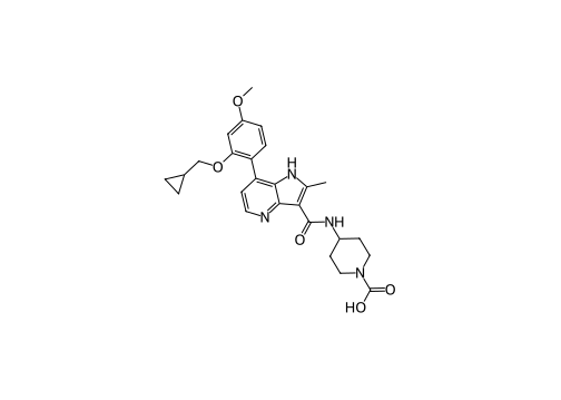 COc1ccc(-c2ccnc3c(C(=O)NC4CCN(C(=O)O)CC4)c(C)[nH]c23)c(OCC2CC2)c1